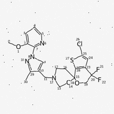 COc1cccnc1-n1cc(CN2CCC3(CC2)OCC(F)(F)c2cc(Cl)sc23)c(C)n1